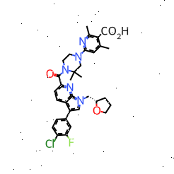 Cc1cc(N2CCN(C(=O)c3ccc4c(-c5ccc(Cl)c(F)c5)cn(C[C@@H]5CCCO5)c4n3)C(C)(C)C2)nc(C)c1C(=O)O